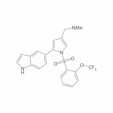 CNCc1cc(-c2ccc3[nH]ccc3c2)n(S(=O)(=O)c2ccccc2OC(F)(F)F)c1